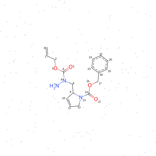 C=CCOC(=O)N(N)CC1C=CCN1C(=O)OCc1ccccc1